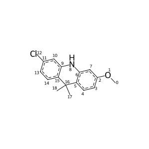 COc1ccc2c(c1)Nc1cc(Cl)ccc1C2(C)C